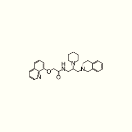 O=C(COc1cccc2cccnc12)NCC(CN1CCc2ccccc2C1)N1CCCCC1